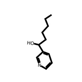 CCCCCC(O)c1cccnc1